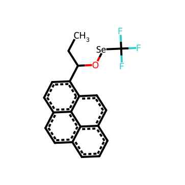 CCC(O[Se]C(F)(F)F)c1ccc2ccc3cccc4ccc1c2c34